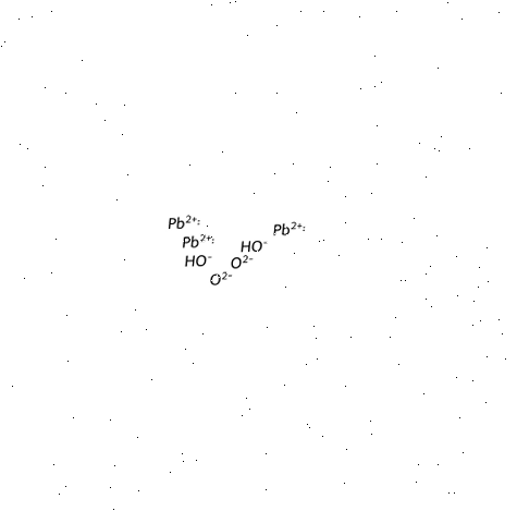 [O-2].[O-2].[OH-].[OH-].[Pb+2].[Pb+2].[Pb+2]